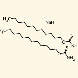 CCCCCCCCCCCCOC(N)=S.CCCCCCCCCCCCOC(N)=S.[NaH]